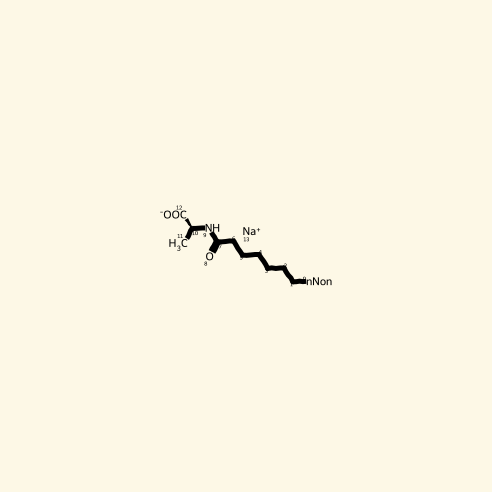 CCCCCCCCCCCCCCCC(=O)N[C@@H](C)C(=O)[O-].[Na+]